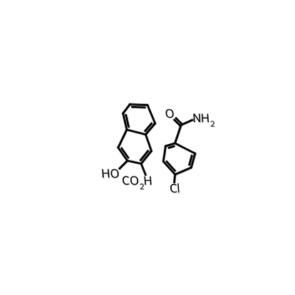 NC(=O)c1ccc(Cl)cc1.O=C(O)c1cc2ccccc2cc1O